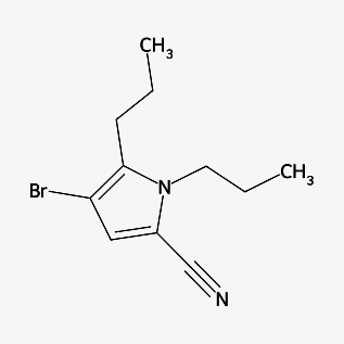 CCCc1c(Br)cc(C#N)n1CCC